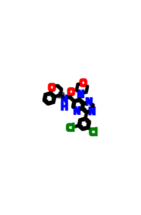 O=C(N[C@H]1CCOc2ccccc21)c1cnc2c(-c3cc(Cl)cc(Cl)c3)ncnc2c1N1CCOCC1